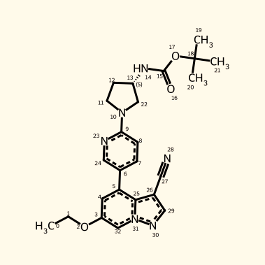 CCOc1cc(-c2ccc(N3CC[C@H](NC(=O)OC(C)(C)C)C3)nc2)c2c(C#N)cnn2c1